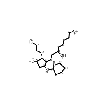 OCCCCCC(O)CCC1[C@@H](CCCO)[C@@H](O)C[C@H]1OC1CCCCO1